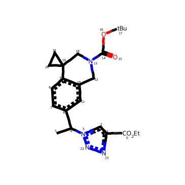 CCOC(=O)c1cn(C(C)c2ccc3c(c2)CN(C(=O)OC(C)(C)C)CC32CC2)nn1